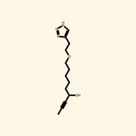 CC#CC(O)CCCCCOCCc1c[nH]nn1